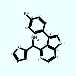 NC(c1cccs1)c1nccc2scc(-c3ccc(F)cc3)c12